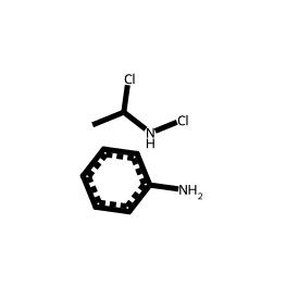 CC(Cl)NCl.Nc1ccccc1